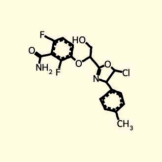 Cc1ccc(C2N=C(C(CO)Oc3ccc(F)c(C(N)=O)c3F)OC2Cl)cc1